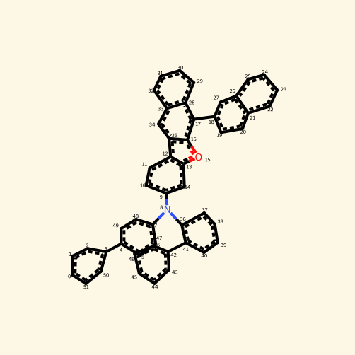 c1ccc(-c2ccc(N(c3ccc4c(c3)oc3c(-c5ccc6ccccc6c5)c5ccccc5cc34)c3ccccc3-c3ccccc3)cc2)cc1